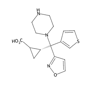 O=C(O)C1C[C@H]1C(c1ccsc1)(c1ccon1)N1CCNCC1